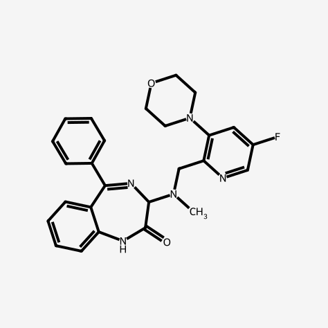 CN(Cc1ncc(F)cc1N1CCOCC1)C1N=C(c2ccccc2)c2ccccc2NC1=O